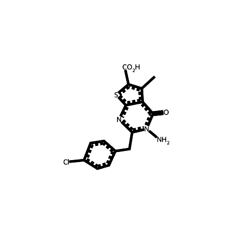 Cc1c(C(=O)O)sc2nc(Cc3ccc(Cl)cc3)n(N)c(=O)c12